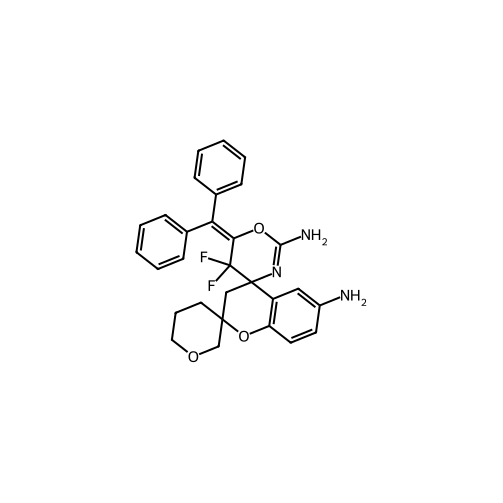 NC1=NC2(CC3(CCCOC3)Oc3ccc(N)cc32)C(F)(F)C(=C(c2ccccc2)c2ccccc2)O1